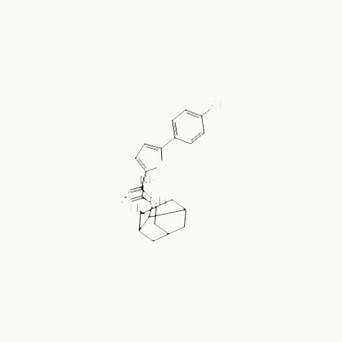 NC(=O)[C@]12CC3CC(C1)[C@@H](NC(=O)c1ccc(-c4ccc(Cl)cc4)o1)C(C3)C2